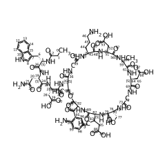 CCC(=O)N[C@@H](Cc1c[nH]c2ccccc12)C(=O)N[C@@H](CC(N)=O)C(=O)N[C@@H](CC(=O)O)C(=O)N[C@@H]1C(=O)NCC(=O)N[C@@H](CCCN)C(=O)N[C@@H](CC(=O)O)C(=O)N[C@H](C)C(=O)N[C@@H](CC(=O)O)C(=O)NCC(=O)N[C@H](CO)C(=O)N[C@@H](C(C)CC(=O)O)C(=O)NC(C(=O)c2ccccc2N)C(=O)O[C@@H]1C